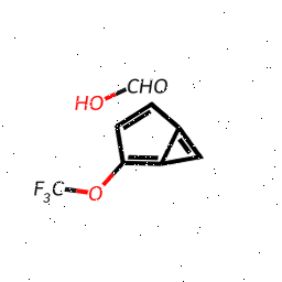 FC(F)(F)Oc1ccc2cc1-2.O=CO